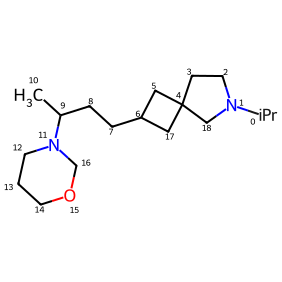 CC(C)N1CCC2(CC(CCC(C)N3CCCOC3)C2)C1